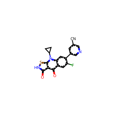 N#Cc1cncc(-c2cc3c(cc2F)c(=O)c2c(=O)[nH]sc2n3C2CC2)c1